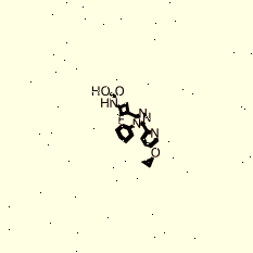 O=C(O)NC1CC(c2nnc(-c3ccc(OC4CC4)cn3)n2-c2ccccc2F)C1